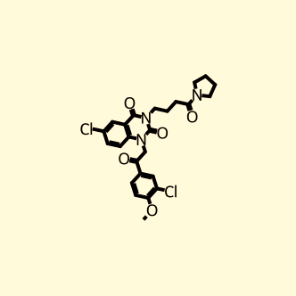 COc1ccc(C(=O)Cn2c(=O)n(CCCC(=O)N3CCCC3)c(=O)c3cc(Cl)ccc32)cc1Cl